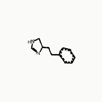 C1=NC(CCc2ccccc2)CN1